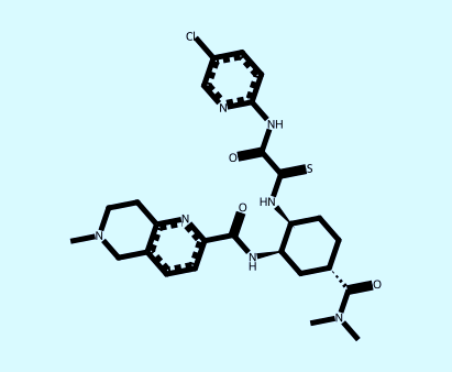 CN1CCc2nc(C(=O)N[C@@H]3C[C@@H](C(=O)N(C)C)CC[C@@H]3NC(=S)C(=O)Nc3ccc(Cl)cn3)ccc2C1